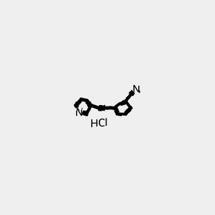 Cl.N#Cc1cccc(C#Cc2cccnc2)c1